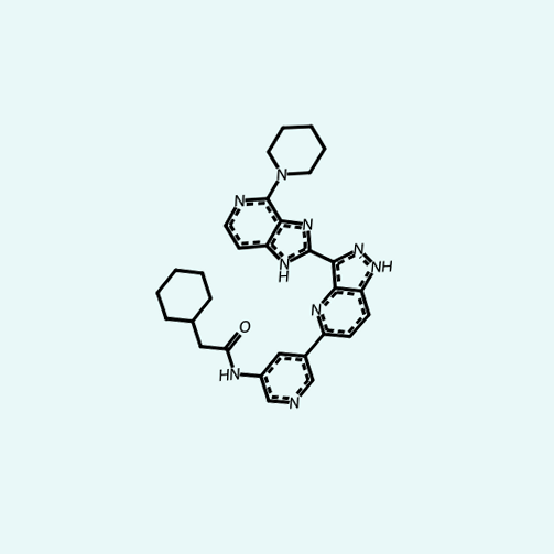 O=C(CC1CCCCC1)Nc1cncc(-c2ccc3[nH]nc(-c4nc5c(N6CCCCC6)nccc5[nH]4)c3n2)c1